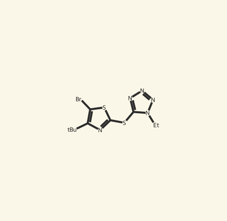 CCn1nnnc1Sc1nc(C(C)(C)C)c(Br)s1